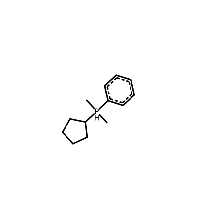 C[PH](C)(c1ccccc1)C1CCCC1